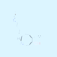 C.COC1=C/C/C(CCCCN=C=S)=C\NC/C=C\1O